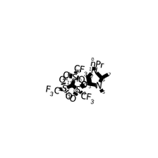 CCCN1C=CN(C)C1C.O=S(=O)(C(S(=O)(=O)C(F)(F)F)S(=O)(=O)C(F)(F)F)C(F)(F)F